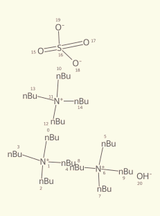 CCCC[N+](CCCC)(CCCC)CCCC.CCCC[N+](CCCC)(CCCC)CCCC.CCCC[N+](CCCC)(CCCC)CCCC.O=S(=O)([O-])[O-].[OH-]